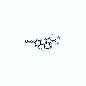 CCCC(CCC)n1c(CC)nc2c(-c3ccc(OC)cc3C(F)(F)F)ncnc21